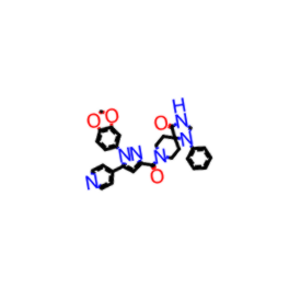 O=C(c1cc(-c2ccncc2)n(-c2ccc3c(c2)OCO3)n1)N1CCC2(CC1)C(=O)NCN2c1ccccc1